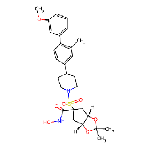 COc1cccc(-c2ccc(C3CCN(S(=O)(=O)[C@]4(C(=O)NO)C[C@@H]5OC(C)(C)O[C@@H]5C4)CC3)cc2C)c1